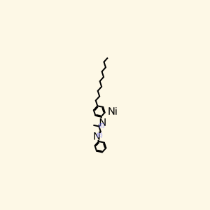 CCCCCCCCCCc1ccc(/N=C(C)/C=N/c2ccccc2)cc1.[Ni]